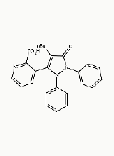 CCCCc1c(-c2cccnc2C(=O)O)n(-c2ccccc2)n(-c2ccccc2)c1=O